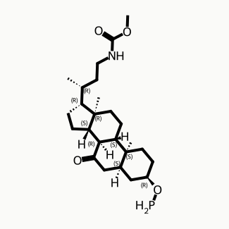 COC(=O)NCC[C@@H](C)[C@H]1CC[C@H]2[C@@H]3C(=O)C[C@@H]4C[C@H](OP)CC[C@]4(C)[C@H]3CC[C@]12C